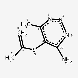 C=C(C)Sc1c(C)nnnc1N